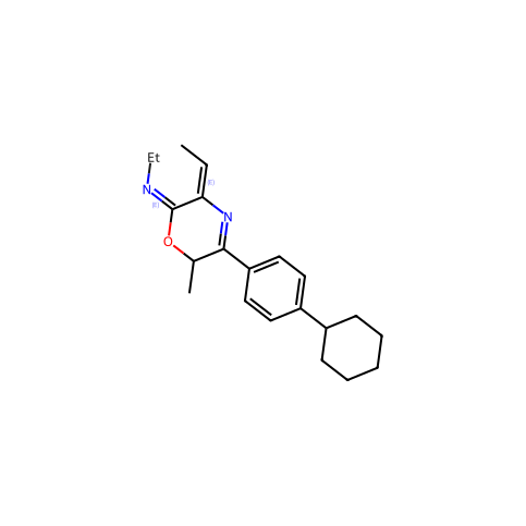 C/C=C1/N=C(c2ccc(C3CCCCC3)cc2)C(C)O/C1=N/CC